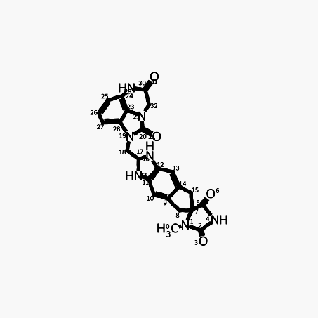 CN1C(=O)NC(=O)C12Cc1cc3c(cc1C2)NC(Cn1c(=O)n2c4c(cccc41)NC(=O)C2)N3